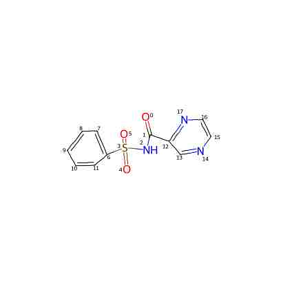 O=C(NS(=O)(=O)c1ccccc1)c1cnccn1